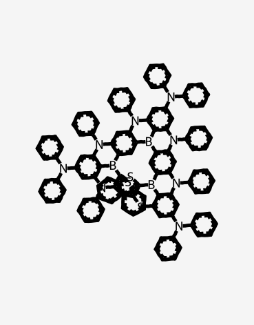 c1ccc(N(c2ccccc2)c2cc3c4c(c2)N(c2ccccc2)c2cc5c(cc2B4c2sc4ccccc4c2S3)B2c3cc4c(cc3N(c3ccccc3)c3cc(N(c6ccccc6)c6ccccc6)cc(c32)N5c2ccccc2)N(c2ccccc2)c2cc(N(c3ccccc3)c3ccccc3)cc3c2B4c2sc4ccccc4c2N3c2ccccc2)cc1